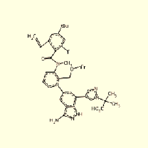 C=Cc1cc(C(C)(C)C)cc(F)c1C(=O)N(C)c1cccc(-c2cc(-c3cnn(C(C)(C)C(=O)O)c3)c3[nH]nc(N)c3c2)c1COCCC